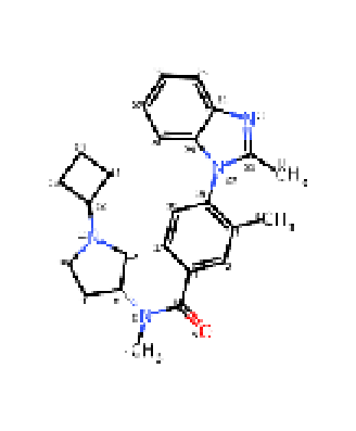 Cc1cc(C(=O)N(C)[C@@H]2CCN(C3CCC3)C2)ccc1-n1c(C)nc2ccccc21